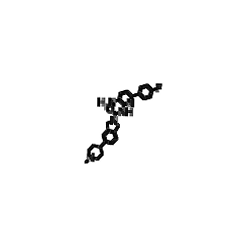 CN1CCC(c2ccc3c(c2)CN(C(=O)Nc2nc(-c4ccc(F)cc4)ccc2N)C3)CC1